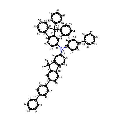 CC1(C)c2cc(-c3ccc(-c4ccccc4)cc3)ccc2-c2ccc(N(c3ccc(-c4ccccc4)cc3)c3ccc4c(c3)C(c3ccccc3)(c3ccccc3)c3ccccc3-4)cc21